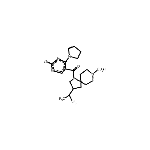 O=C(O)N1CCC2(CC1)CC(C(C(F)(F)F)C(F)(F)F)CN2C(=O)c1cnc(Cl)nc1N1CCCC1